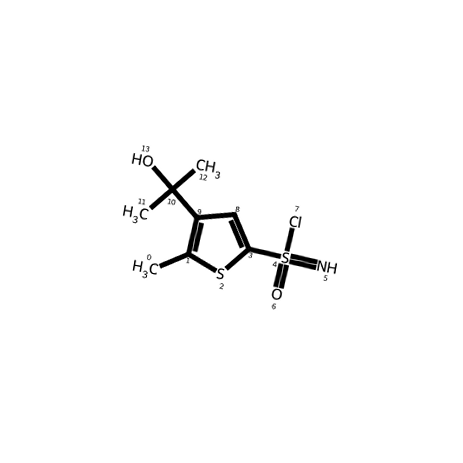 Cc1sc(S(=N)(=O)Cl)cc1C(C)(C)O